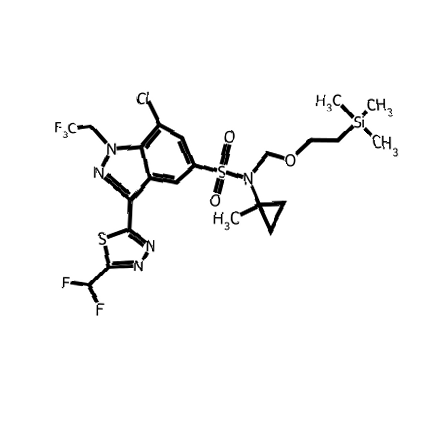 CC1(N(COCC[Si](C)(C)C)S(=O)(=O)c2cc(Cl)c3c(c2)c(-c2nnc(C(F)F)s2)nn3CC(F)(F)F)CC1